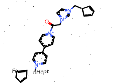 C1=CCC=C1.CCCCCCC[n+]1ccc(-c2cc[n+](C(=O)C[n+]3ccn(CC4C=CC=C4)c3)cc2)cc1.[Fe]